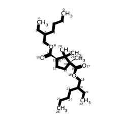 CCCCC(CC)COC(=O)[C@@H]1CC[C@](C)(C(=O)OCC(CC)CCCC)C1(C)C